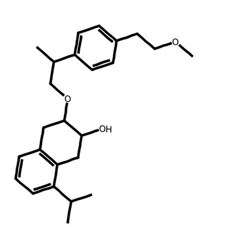 COCCc1ccc(C(C)COC2Cc3cccc(C(C)C)c3CC2O)cc1